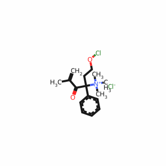 C=C(C)C(=O)C(CCOCl)(c1ccccc1)[N+](C)(C)C.[Cl-]